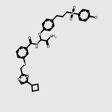 NC(=O)C(NC(=O)c1cccc(SCc2nc(C3CCC3)cs2)c1)Oc1ccc(CCCS(=O)(=O)c2ccc(Cl)cc2)cc1